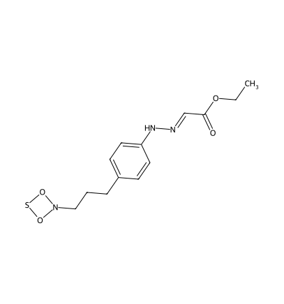 CCOC(=O)/C=N/Nc1ccc(CCCN2OSO2)cc1